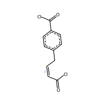 O=C(Cl)/C=C\Cc1ccc(C(=O)Cl)cc1